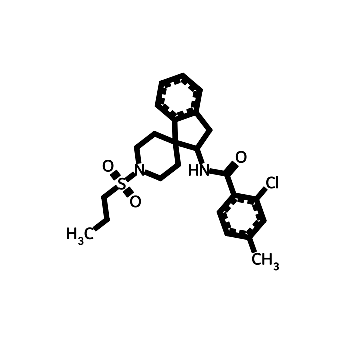 CCCS(=O)(=O)N1CCC2(CC1)c1ccccc1CC2NC(=O)c1ccc(C)cc1Cl